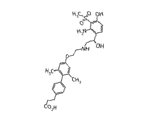 Cc1cc(OCCNCC(O)c2ccc(O)c(S(C)(=O)=O)c2N)cc(C)c1-c1ccc(CCC(=O)O)cc1